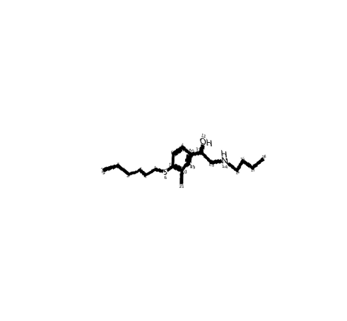 CCCCCCSc1ccc(C(O)CNCCCC)cc1C